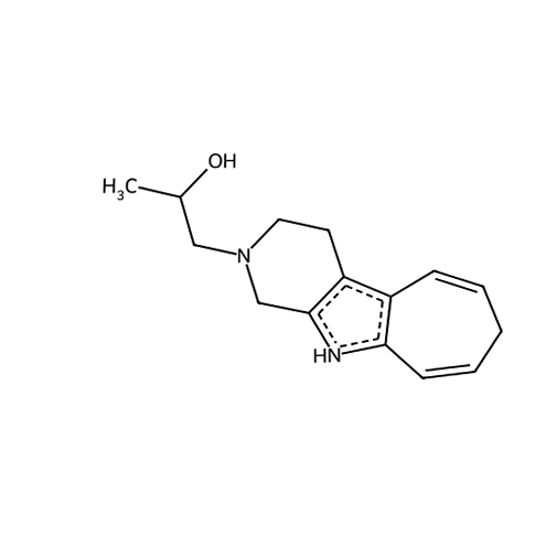 CC(O)CN1CCc2c([nH]c3c2C=CCC=C3)C1